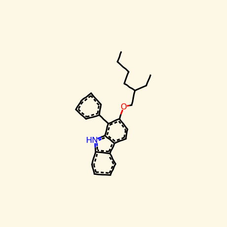 CCCCC(CC)COc1ccc2c([nH]c3ccccc32)c1-c1ccccc1